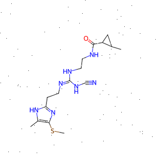 CSc1nc(CCN=C(NC#N)NCCNC(=O)C2CC2C)[nH]c1C